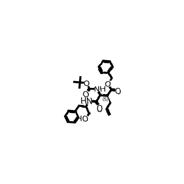 C=CC[C@H](C(=O)OCc1ccccc1)C(NC(=O)OC(C)(C)C)C(=O)NC(CO)Cc1ccccc1